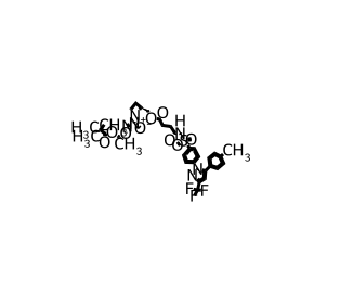 Cc1ccc(-c2cc(C(F)(F)F)nn2-c2ccc(S(=O)(=O)NC(=O)CCC(=O)OC[C@@H]3CCN3[N+]([O-])=NOC(C)OC(=O)C(C)(C)C)cc2)cc1